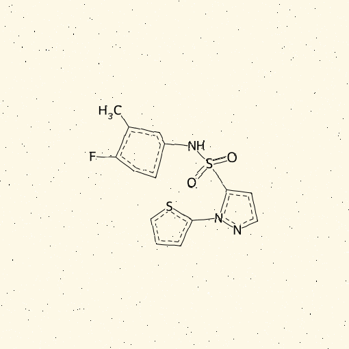 Cc1cc(NS(=O)(=O)c2ccnn2-c2cccs2)ccc1F